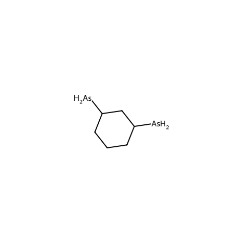 [AsH2]C1CCCC([AsH2])C1